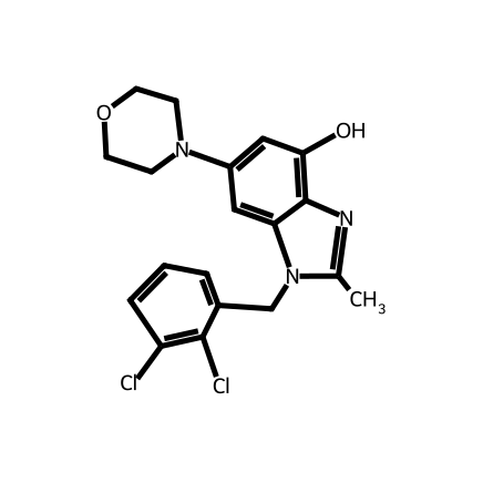 Cc1nc2c(O)cc(N3CCOCC3)cc2n1Cc1cccc(Cl)c1Cl